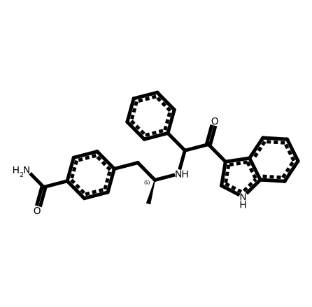 C[C@@H](Cc1ccc(C(N)=O)cc1)NC(C(=O)c1c[nH]c2ccccc12)c1ccccc1